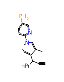 C#CC(CCC)C(=C/C)/C(C)=C\N(C)c1ccc(P)cn1